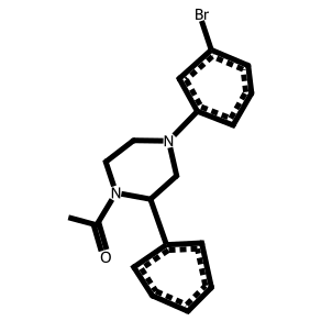 CC(=O)N1CCN(c2cccc(Br)c2)CC1c1ccccc1